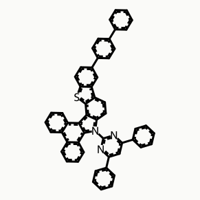 c1ccc(-c2ccc(-c3ccc4sc5c(ccc6c5c5c7ccccc7c7ccccc7c5n6-c5nc(-c6ccccc6)cc(-c6ccccc6)n5)c4c3)cc2)cc1